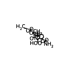 C=CCOC(=O)O[C@H](C)[C@H]1C(=O)N2C(C(=O)O)=C3[C@@H](OC(N)=O)CCC[C@@H]3[C@H]12